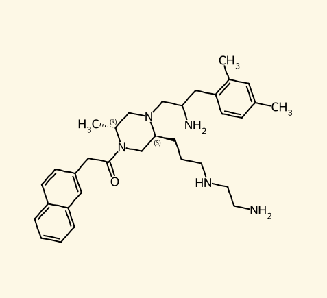 Cc1ccc(CC(N)CN2C[C@@H](C)N(C(=O)Cc3ccc4ccccc4c3)C[C@@H]2CCCNCCN)c(C)c1